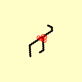 CCCC/C=C\C/C=C\CCCCCCCC(=O)O[C@H](COC(=O)CCCCCCC/C=C\CCCC)COC(=O)CCCCCCCCC/C=C\CCCCCCCCCC